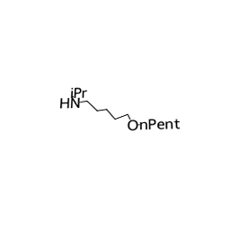 CCCCCOCCCCCNC(C)C